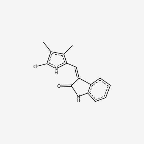 Cc1c(Cl)[nH]c(C=C2C(=O)Nc3ccccc32)c1C